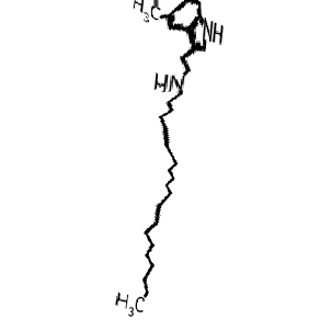 CCCCCCCCCCCCCCCCCCCCNCCc1c[nH]c2ccc(C)cc12